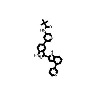 CC(C)(C)C(=O)Nc1cncc(-c2ccc3[nH]nc(-c4cc5c(-c6cccnc6)cccc5[nH]4)c3c2)c1